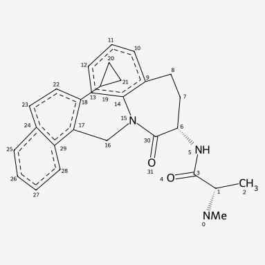 CN[C@@H](C)C(=O)N[C@H]1CCc2ccccc2N(Cc2c(C3CC3)ccc3ccccc23)C1=O